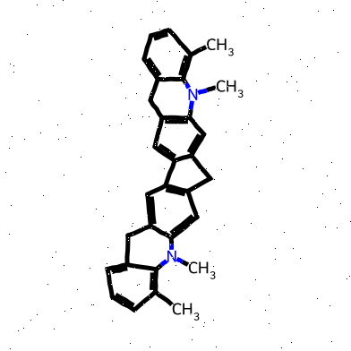 Cc1cccc2c1N(C)c1cc3c(cc1C2)-c1cc2c(cc1C3)N(C)c1c(C)cccc1C2